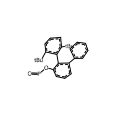 CC(C)(C)c1cccc(C(C)(C)C)c1-c1c(OP=O)cccc1-c1ccccc1